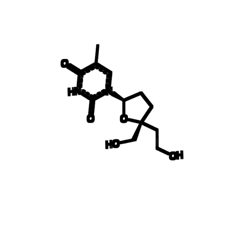 Cc1cn([C@H]2CC[C@](CO)(CCO)O2)c(=O)[nH]c1=O